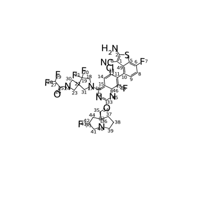 N#Cc1c(N)sc2c(F)ccc(-c3c(Cl)cc4c(N5CC(F)(F)C6(CN(C(=O)C(F)F)C6)C5)nc(OC[C@@]56CCCN5C[C@H](F)C6)nc4c3F)c12